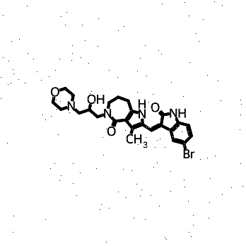 Cc1c(/C=C2\C(=O)Nc3ccc(Br)cc32)[nH]c2c1C(=O)N(CC(O)CN1CCOCC1)CCC2